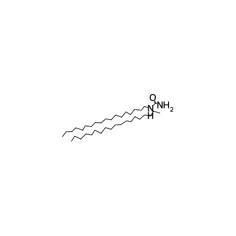 CCCCCCCCCCCCCCCCCCC.CCCCCCCCCCCCCCCCCCNC(N)=O